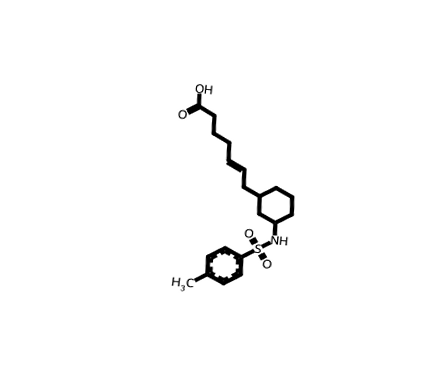 Cc1ccc(S(=O)(=O)NC2CCCC(CC=CCCCC(=O)O)C2)cc1